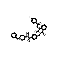 O=C(Cn1c(=O)n(Cc2ccc(C(=O)NC3CCN(Cc4ccccc4)CC3)cc2)c(=O)c2ccccc21)c1ccc(F)cc1